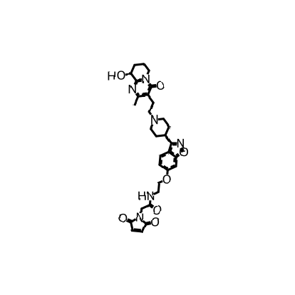 Cc1nc2n(c(=O)c1CCN1CCC(c3noc4cc(OCCNC(=O)CN5C(=O)C=CC5=O)ccc34)CC1)CCCC2O